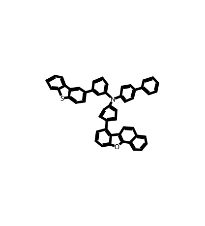 c1ccc(-c2ccc(N(c3ccc(-c4cccc5oc6c7ccccc7ccc6c45)cc3)c3cccc(-c4ccc5sc6ccccc6c5c4)c3)cc2)cc1